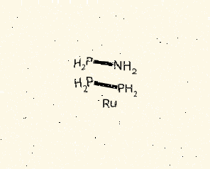 NP.PP.[Ru]